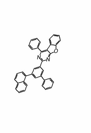 c1ccc(-c2cc(-c3nc(-c4ccccc4)c4c(n3)oc3ccccc34)cc(-c3cccc4ccccc34)c2)cc1